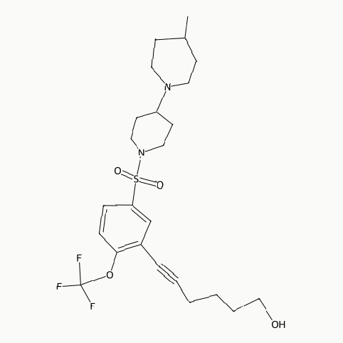 CC1CCN(C2CCN(S(=O)(=O)c3ccc(OC(F)(F)F)c(C#CCCCCO)c3)CC2)CC1